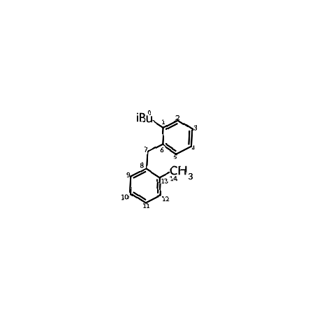 CCC(C)c1ccccc1Cc1ccccc1C